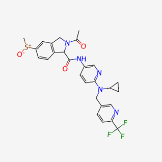 CC(=O)N1Cc2cc([S+](C)[O-])ccc2C1C(=O)Nc1ccc(N(Cc2ccc(C(F)(F)F)nc2)C2CC2)nc1